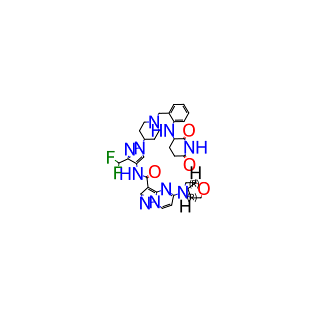 O=C1CCC(Nc2ccccc2CN2CCC(n3cc(NC(=O)c4cnn5ccc(N6C[C@H]7C[C@@H]6CO7)nc45)c(C(F)F)n3)CC2)C(=O)N1